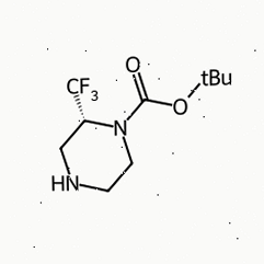 CC(C)(C)OC(=O)N1CCNC[C@@H]1C(F)(F)F